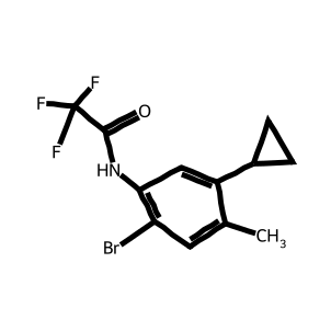 Cc1cc(Br)c(NC(=O)C(F)(F)F)cc1C1CC1